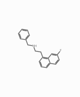 Fc1ccc2cccc(CCNCc3ccccc3)c2c1